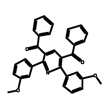 COc1cccc(-c2nc(-c3cccc(OC)c3)c(C(=O)c3ccccc3)cc2C(=O)c2ccccc2)c1